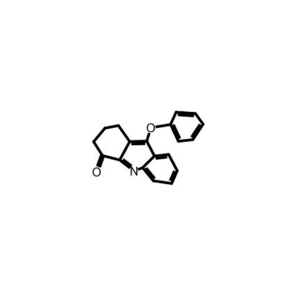 O=C1CCCc2c1nc1ccccc1c2Oc1ccccc1